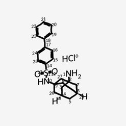 Cl.NC12C[C@H]3C[C@@H](C1)CC(NS(=O)(=O)c1ccc(-c4ccccc4)cc1)(C3)C2